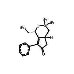 CC(C)C[C@@H]1O[Si](C(C)C)(C(C)C)C[C@@H]2CC(=O)C(c3ccccc3)=C21